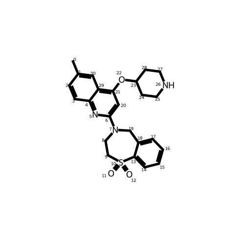 Cc1ccc2nc(N3CCS(=O)(=O)c4ccccc4C3)cc(OC3CCNCC3)c2c1